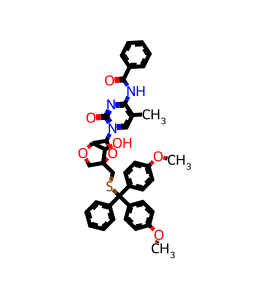 COc1ccc(C(SCC23COC(C(n4cc(C)c(NC(=O)c5ccccc5)nc4=O)O2)C3O)(c2ccccc2)c2ccc(OC)cc2)cc1